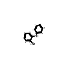 Brc1ccccc1Nc1ccccc1